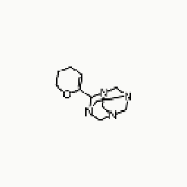 C1=C(C2N3CN4CN(C3)CN2C4)OCCC1